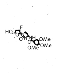 COc1cc(C(=O)Nc2ccn([C@@H]3O[C@H](CO)C[C@@H]3F)c(=O)n2)cc(OC)c1OC